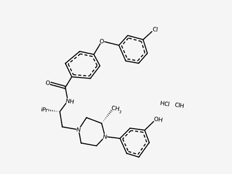 CC(C)[C@@H](CN1CCN(c2cccc(O)c2)[C@@H](C)C1)NC(=O)c1ccc(Oc2cccc(Cl)c2)cc1.Cl.Cl